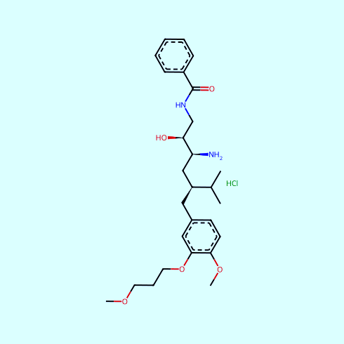 COCCCOc1cc(C[C@@H](C[C@H](N)[C@@H](O)CNC(=O)c2ccccc2)C(C)C)ccc1OC.Cl